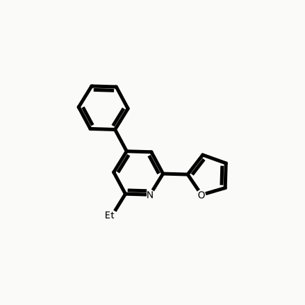 CCc1cc(-c2ccccc2)cc(-c2ccco2)n1